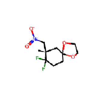 C[C@@]1(C[N+](=O)[O-])CC2(CCC1(F)F)OCCO2